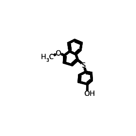 COc1ccc(Sc2ccc(O)cc2)c2ccccc12